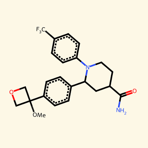 COC1(c2ccc(C3CC(C(N)=O)CCN3c3ccc(C(F)(F)F)cc3)cc2)COC1